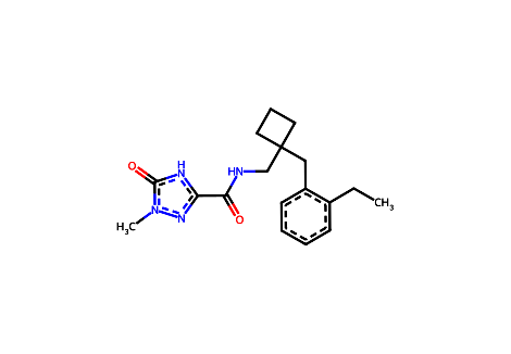 CCc1ccccc1CC1(CNC(=O)c2nn(C)c(=O)[nH]2)CCC1